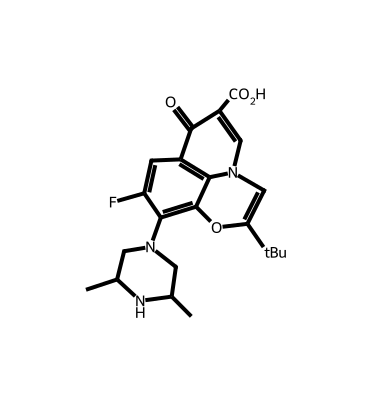 CC1CN(c2c(F)cc3c(=O)c(C(=O)O)cn4c3c2OC(C(C)(C)C)=C4)CC(C)N1